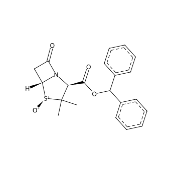 CC1(C)[C@H](C(=O)OC(c2ccccc2)c2ccccc2)N2C(=O)C[C@H]2[S@+]1[O-]